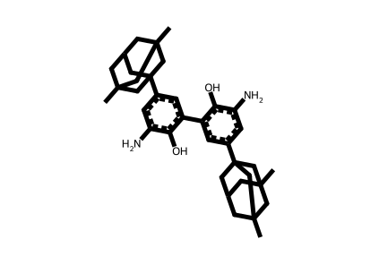 CC12CC3CC(C)(C1)CC(c1cc(N)c(O)c(-c4cc(C56CC7CC(C)(CC(C)(C7)C5)C6)cc(N)c4O)c1)(C3)C2